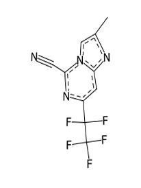 Cc1cn2c(C#N)nc(C(F)(F)C(F)(F)F)cc2n1